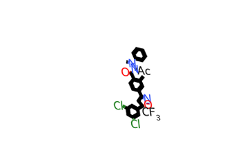 CC(=O)N(C(=O)c1ccc(C2=NOC(c3cc(Cl)cc(Cl)c3)(C(F)(F)F)C2)cc1C)N(C)c1ccccc1